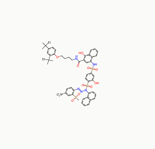 CCC(C)(C)c1ccc(OCCCCNC(=O)c2cc(NS(=O)(=O)c3ccc(S(=O)(=O)N(N=Nc4ccc([N+](=O)[O-])cc4S(C)(=O)=O)c4cccc5ccccc45)c(O)c3)c3ccccc3c2O)c(C(C)(C)CC)c1